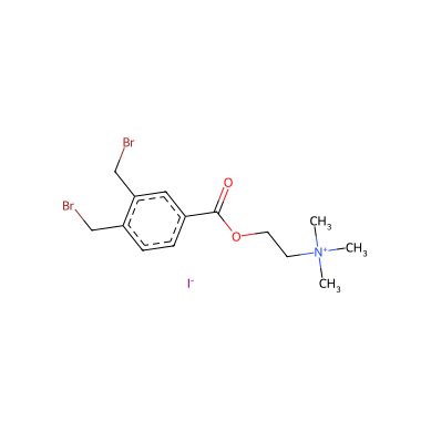 C[N+](C)(C)CCOC(=O)c1ccc(CBr)c(CBr)c1.[I-]